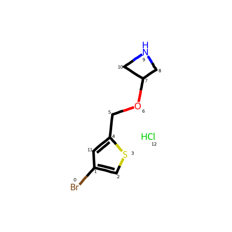 Brc1csc(COC2CNC2)c1.Cl